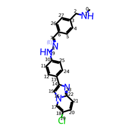 CNCc1ccc(/C=N/Nc2ccc(-c3cn4cc(Cl)ccc4n3)cc2)cc1